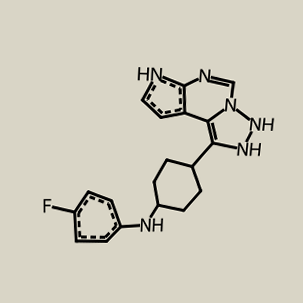 Fc1ccc(NC2CCC(C3=C4c5cc[nH]c5N=CN4NN3)CC2)cc1